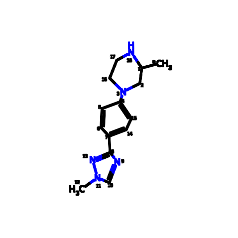 CC1CN(c2ccc(-c3ncn(C)n3)cc2)CCN1